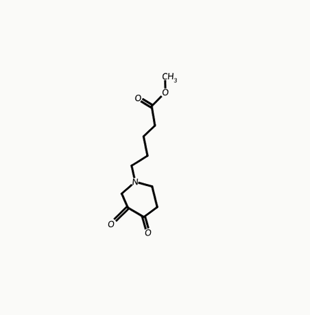 COC(=O)CCCCN1CCC(=O)C(=O)C1